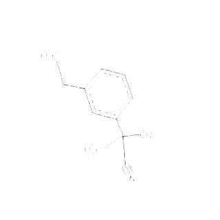 CCc1cccc(C(C)(C)C#N)c1